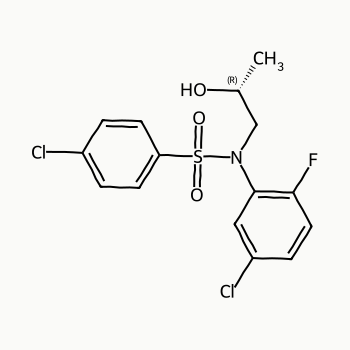 C[C@@H](O)CN(c1cc(Cl)ccc1F)S(=O)(=O)c1ccc(Cl)cc1